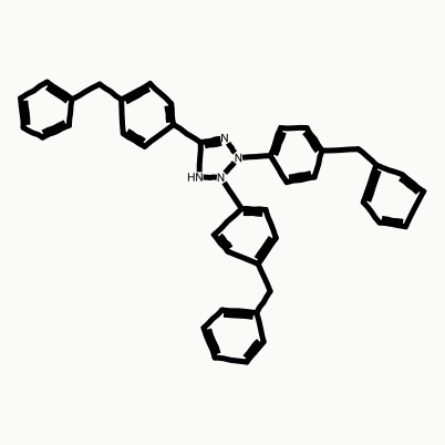 c1ccc(Cc2ccc(C3=NN(c4ccc(Cc5ccccc5)cc4)N(c4ccc(Cc5ccccc5)cc4)N3)cc2)cc1